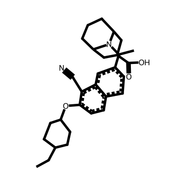 CCC1CCC(Oc2ccc3ccc(C(C)N4C5CCCC4CC(C(=O)O)C5)cc3c2C#N)CC1